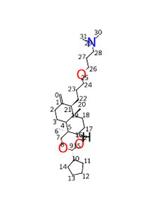 C=C1CCC2[C@]3(C)CO[C@@H](C4CCCC4)O[C@@H]3CC[C@@]2(C)[C@@H]1CCCOCCCN(C)C